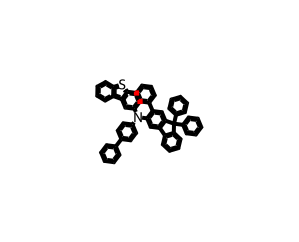 c1ccc(-c2ccc(N(c3ccc4sc5ccccc5c4c3)c3cc4c(cc3-c3ccccc3)C(c3ccccc3)(c3ccccc3)c3ccccc3-4)cc2)cc1